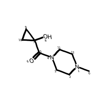 CN1CCN(C(=O)C2(O)CC2)CC1